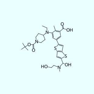 CCN(c1cc(-c2cc3sc(C(O)N(C)CCO)cc3s2)cc(C(=O)O)c1C)C1CCN(C(=O)OC(C)(C)C)CC1